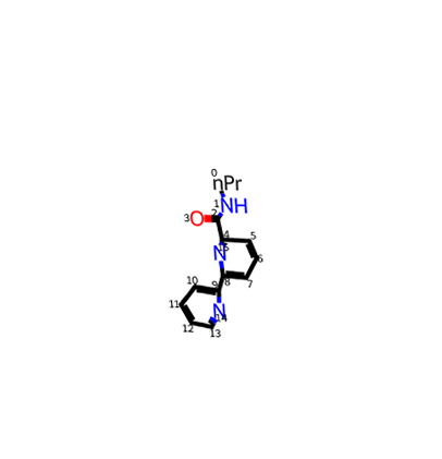 CCCNC(=O)c1cccc(-c2ccccn2)n1